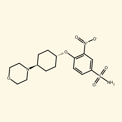 NS(=O)(=O)c1ccc(O[C@H]2CC[C@H](N3CCOCC3)CC2)c([N+](=O)[O-])c1